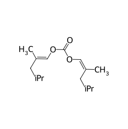 CC(=COC(=O)OC=C(C)CC(C)C)CC(C)C